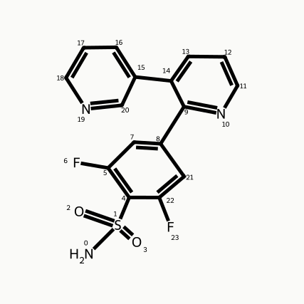 NS(=O)(=O)c1c(F)cc(-c2ncccc2-c2cccnc2)cc1F